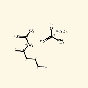 CCCCC(C)NC([O-])=S.NC([O-])=S.[Cu+2]